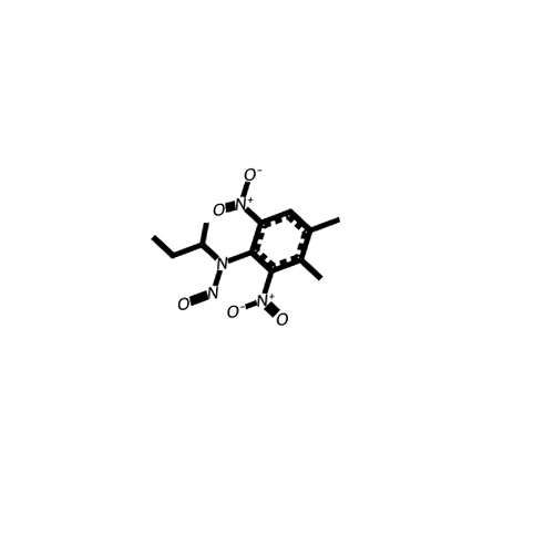 CCC(C)N(N=O)c1c([N+](=O)[O-])cc(C)c(C)c1[N+](=O)[O-]